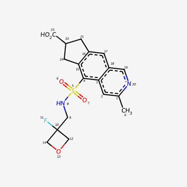 Cc1cc2c(S(=O)(=O)NCC3(F)COC3)c3c(cc2cn1)CC(C(=O)O)C3